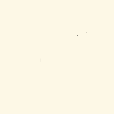 O=[N+]([O-])c1ccc(Cc2ccsc2Cl)cc1